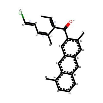 C\C=C(C(=O)c1cc2cc3c(C)cccc3cc2cc1C)/C(C)=C\C=C\Cl